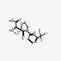 C[C@]1(C(O)C(=O)O)OCCN(c2cccc(C(F)(F)F)n2)C1=O